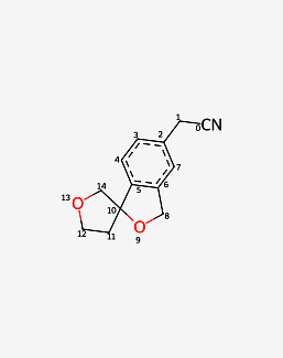 N#CCc1ccc2c(c1)COC21CCOC1